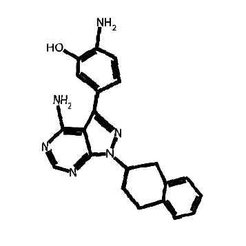 Nc1ccc(-c2nn(C3CCc4ccccc4C3)c3ncnc(N)c23)cc1O